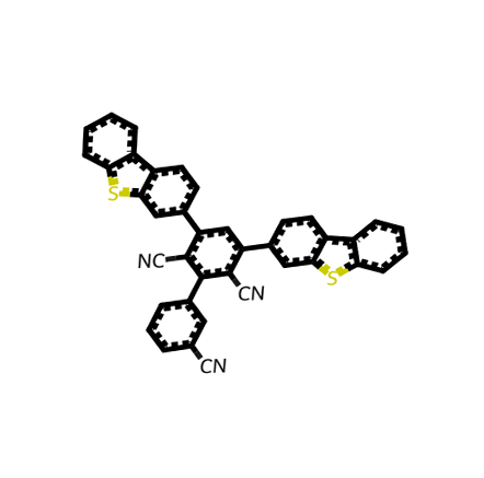 N#Cc1cccc(-c2c(C#N)c(-c3ccc4c(c3)sc3ccccc34)cc(-c3ccc4c(c3)sc3ccccc34)c2C#N)c1